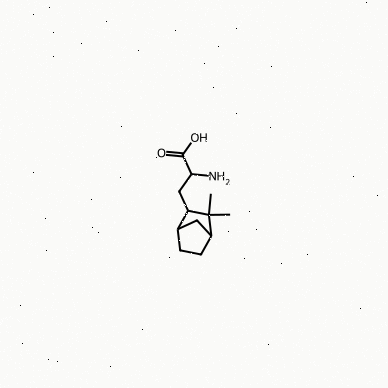 CC1(C)C2CCC(C2)C1CC(N)C(=O)O